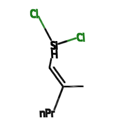 CCCC(C)=C[SiH](Cl)Cl